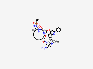 CO/N=C1\CN(C(=O)C[C@H]2CCCCC/C=C\[C@@H]3C[C@@]3(C(=O)NS(=O)(=O)C3CC3)NC(=O)[C@@H]3C[C@@H](Oc4cc(-c5ccccc5)nc5cc(OC)ccc45)CN3C2=O)CC1(C)CN